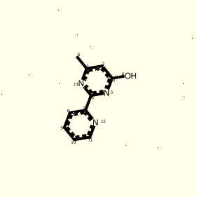 Cc1cc(O)nc(-c2ccccn2)n1